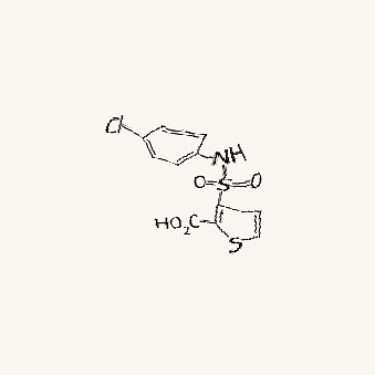 O=C(O)c1sccc1S(=O)(=O)Nc1ccc(Cl)cc1